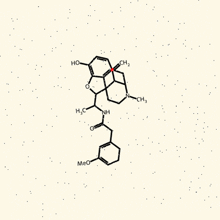 C=CC1C2Cc3ccc(O)c4c3C1(CCN2C)C(C(C)NC(=O)CC1=CC(OC)=CCC1)O4